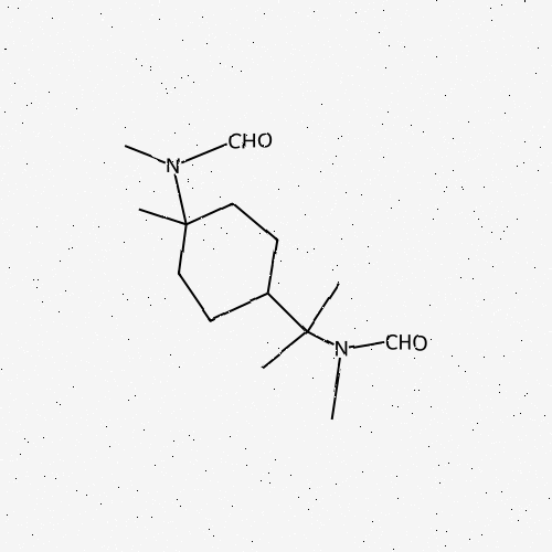 CN(C=O)C1(C)CCC(C(C)(C)N(C)C=O)CC1